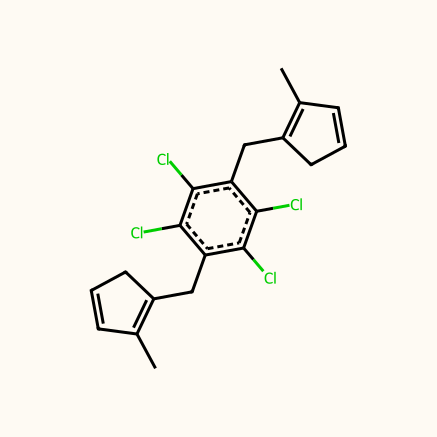 CC1=C(Cc2c(Cl)c(Cl)c(CC3=C(C)C=CC3)c(Cl)c2Cl)CC=C1